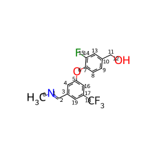 C/N=C/c1cc(Oc2ccc(CO)cc2F)cc(C(F)(F)F)c1